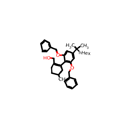 CCCCCCC(C)(C)c1cc(OCc2ccccc2)c(C2=C(CO)CCC(C)C2)c(OCc2ccccc2)c1